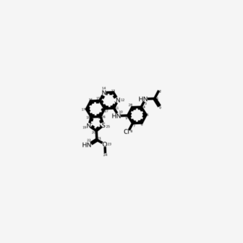 C=C(C)Nc1ccc(Cl)c(Nc2ncnc3ccc4nc(C(=N)OC)sc4c23)c1